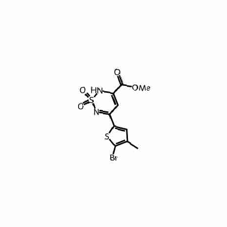 COC(=O)C1=CC(c2cc(C)c(Br)s2)=NS(=O)(=O)N1